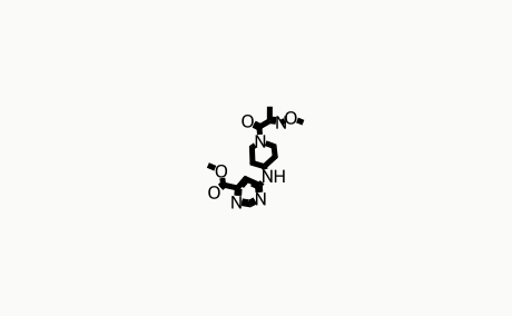 CON=C(C)C(=O)N1CCC(Nc2cc(C(=O)OC)ncn2)CC1